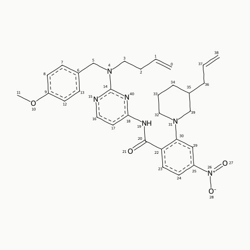 C=CCCN(Cc1ccc(OC)cc1)c1nccc(NC(=O)c2ccc([N+](=O)[O-])cc2N2CCCC(CC=C)C2)n1